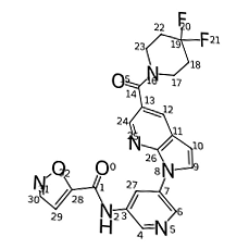 O=C(Nc1cncc(-n2ccc3cc(C(=O)N4CCC(F)(F)CC4)cnc32)c1)c1ccno1